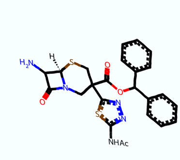 CC(=O)Nc1nnc(C2(C(=O)OC(c3ccccc3)c3ccccc3)CS[C@@H]3C(N)C(=O)N3C2)s1